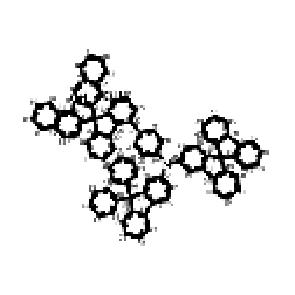 Cc1c(C2(c3ccc4ccccc4c3O)c3ccccc3-c3c(-c4ccc(N(c5ccc6c(c5)-c5ccccc5C65c6ccccc6-c6ccccc65)c5ccc6c(c5)C(c5ccccc5)(c5ccccc5)c5ccccc5-6)cc4)cccc32)ccc2ccccc12